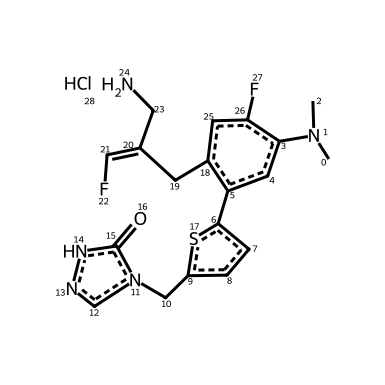 CN(C)c1cc(-c2ccc(Cn3cn[nH]c3=O)s2)c(C/C(=C\F)CN)cc1F.Cl